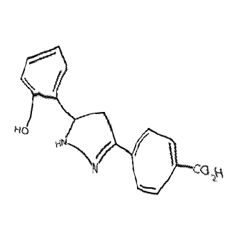 O=C(O)c1ccc(C2=NNC(c3ccccc3O)C2)cc1